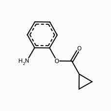 Nc1ccccc1OC(=O)C1CC1